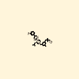 Cc1cc(CN2CCN(c3ncc(-c4cccc(F)c4)cn3)[C@H](CC(C)C)C2)cc(CC(C)(C)C=O)c1